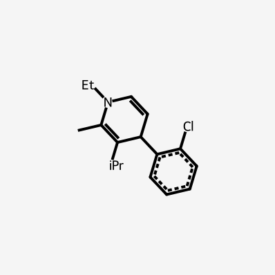 CCN1C=CC(c2ccccc2Cl)C(C(C)C)=C1C